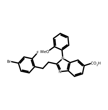 COc1ccccc1-n1c(CCc2ccc(Br)cc2F)nc2ccc(C(=O)O)cc21